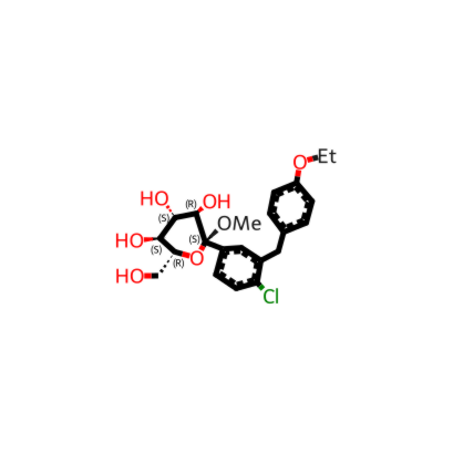 CCOc1ccc(Cc2cc([C@]3(OC)O[C@H](CO)[C@@H](O)[C@H](O)[C@H]3O)ccc2Cl)cc1